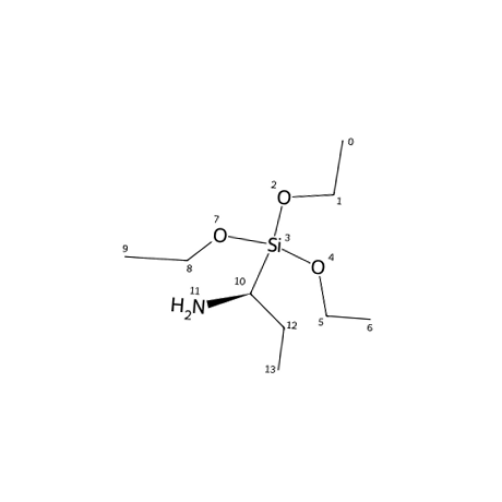 CCO[Si](OCC)(OCC)[C@H](N)CC